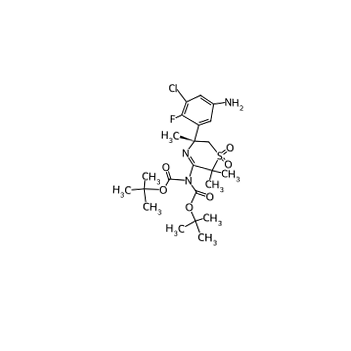 CC(C)(C)OC(=O)N(C(=O)OC(C)(C)C)C1=N[C@](C)(c2cc(N)cc(Cl)c2F)CS(=O)(=O)C1(C)C